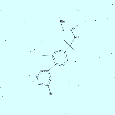 Cc1cc(C(C)(C)NC(=O)OC(C)(C)C)ccc1-c1cncc(Br)c1